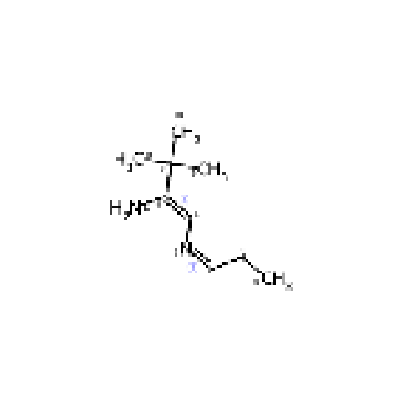 CC/C=N\C=C(/N)C(C)(C)C